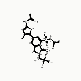 CC(=O)Nc1nc(C)c(-c2cc3c(c(S(=O)(=O)NC(C)C)c2)C(=O)N([C@@H](C)C(F)(F)F)C3)s1